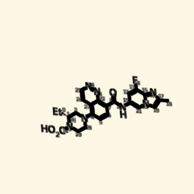 CC[C@@H]1CN(c2ccc(C(=O)Nc3cc(F)c4nc(C)cn4c3)c3nnccc23)CCN1C(=O)O